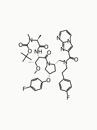 CO[C@H](C)[C@H](NC(=O)[C@H](C)N(C)C(=O)OC(C)(C)C)C(=O)N1C[C@@H](Oc2ccc(F)cc2)C[C@H]1CN(CCc1ccc(F)cc1)C(=O)c1cn2cccnc2n1